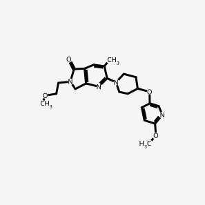 COCCN1Cc2nc(N3CCC(Oc4ccc(OC)nc4)CC3)c(C)cc2C1=O